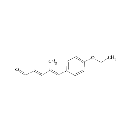 CCOc1ccc(/C=C(C)/C=C/C=O)cc1